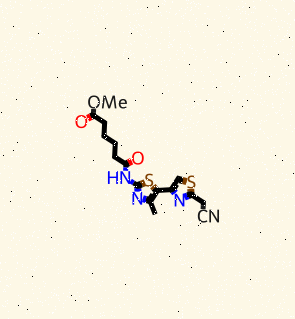 COC(=O)CCCCC(=O)Nc1nc(C)c(-c2csc(CC#N)n2)s1